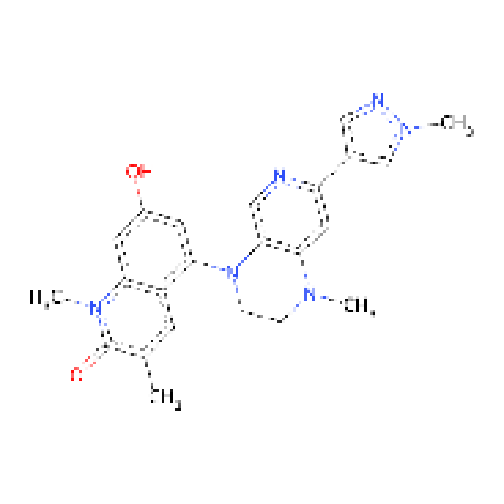 Cc1cc2c(N3CCN(C)c4cc(-c5cnn(C)c5)ncc43)cc(O)cc2n(C)c1=O